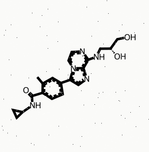 Cc1cc(-c2cnc3c(NC[C@@H](O)CO)nccn23)ccc1C(=O)NC1CC1